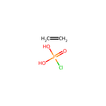 C=C.O=P(O)(O)Cl